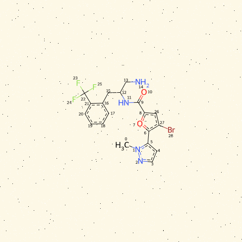 Cn1nccc1-c1oc(C(=O)NC(CN)Cc2ccccc2C(F)(F)F)cc1Br